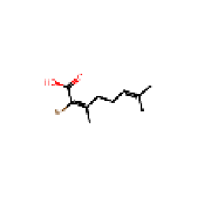 CC(C)=CCC/C(C)=C(/Br)C(=O)O